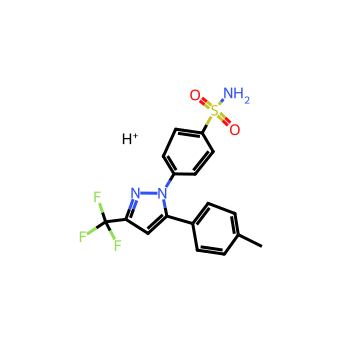 Cc1ccc(-c2cc(C(F)(F)F)nn2-c2ccc(S(N)(=O)=O)cc2)cc1.[H+]